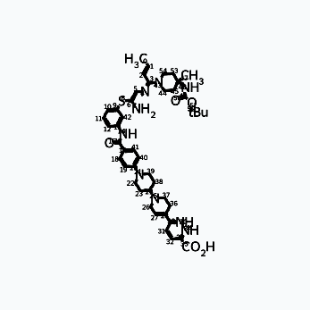 C/C=C/C(=N\C=C(/N)Sc1cccc(NC(=O)c2ccc(N3CCC(N4CC=C(C(=N)/C=C\C(=N)C(=O)O)CC4)CC3)cc2)c1)N1CCC(C)(NC(=O)OC(C)(C)C)CC1